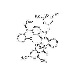 COCCOc1ccccc1/C(=N/OC(C)=O)c1ccc2c(c1)c1cc(C(=O)c3c(C)cc(C)cc3C)c3ccccc3c1n2CC(COC(C)C)OS(=O)C(F)(F)F